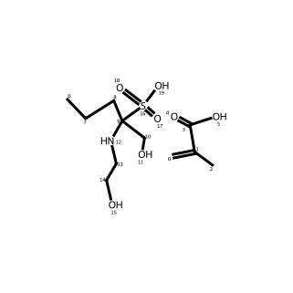 C=C(C)C(=O)O.CCCC(CO)(NCCO)S(=O)(=O)O